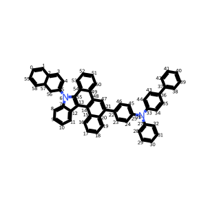 C1=CC2=CC=C(n3c4ccccc4c4c5c6ccccc6c(-c6ccc(N(c7ccccc7)c7ccc(-c8ccccc8)cc7)cc6)cc5c5ccccc5c43)CC2C=C1